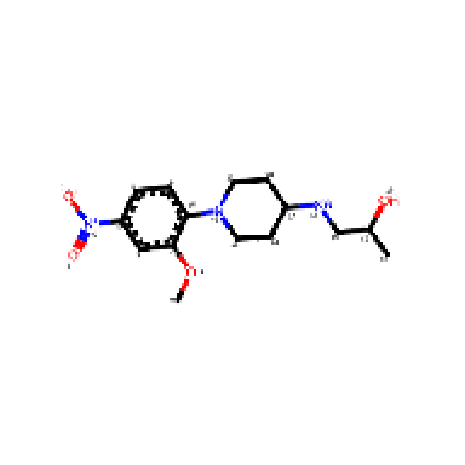 COc1cc([N+](=O)[O-])ccc1N1CCC(NCC(C)O)CC1